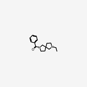 CCN1CCC2(CCN(C(=O)c3ccccc3)C2)C1